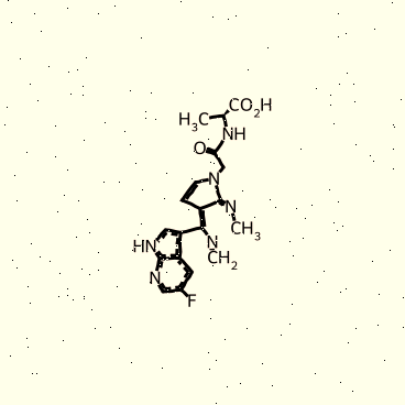 C=N/C(=C1/C=CN(CC(=O)N[C@@H](C)C(=O)O)/C1=N/C)c1c[nH]c2ncc(F)cc12